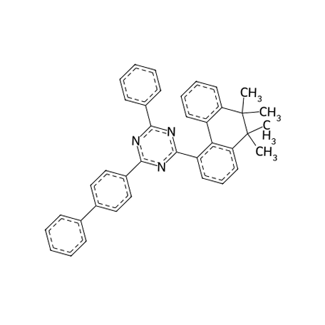 CC1(C)c2ccccc2-c2c(-c3nc(-c4ccccc4)nc(-c4ccc(-c5ccccc5)cc4)n3)cccc2C1(C)C